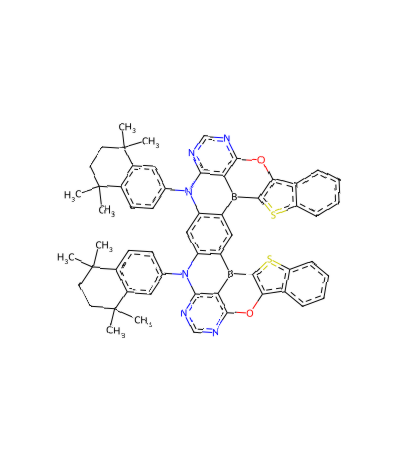 CC1(C)CCC(C)(C)c2cc(N3c4cc5c(cc4B4c6sc7ccccc7c6Oc6ncnc3c64)B3c4sc6ccccc6c4Oc4ncnc(c43)N5c3ccc4c(c3)C(C)(C)CCC4(C)C)ccc21